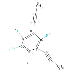 CC#Cc1c(F)c(F)c(F)c(C#CC)c1F